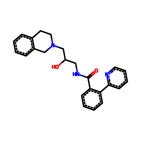 O=C(NCC(O)CN1CCc2ccccc2C1)c1ccccc1-c1ccccn1